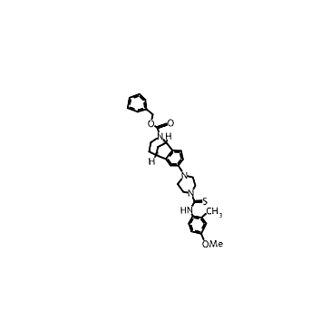 COc1ccc(NC(=S)N2CCN(c3ccc4c(c3)[C@@H]3CCN(C(=O)OCc5ccccc5)[C@H]4C3)CC2)c(C)c1